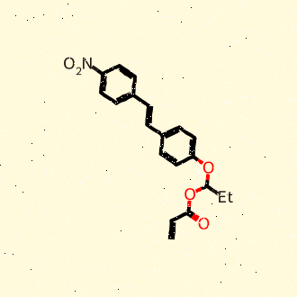 C=CC(=O)OC(CC)Oc1ccc(C=Cc2ccc([N+](=O)[O-])cc2)cc1